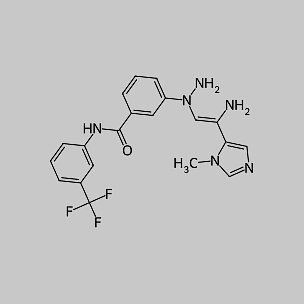 Cn1cncc1/C(N)=C/N(N)c1cccc(C(=O)Nc2cccc(C(F)(F)F)c2)c1